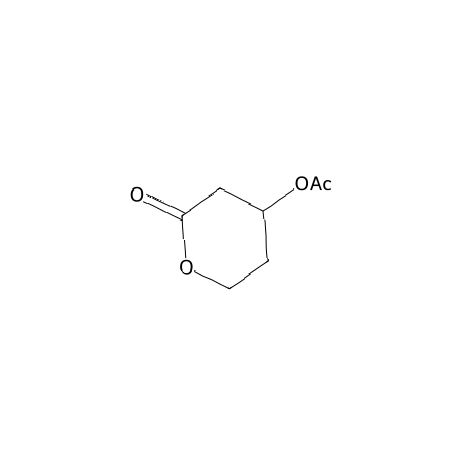 CC(=O)OC1CCOC(=O)C1